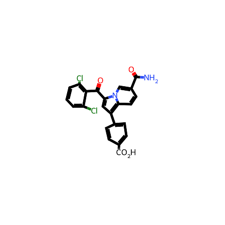 NC(=O)c1ccc2c(-c3ccc(C(=O)O)cc3)cc(C(=O)c3c(Cl)cccc3Cl)n2c1